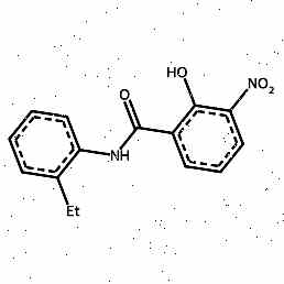 CCc1ccccc1NC(=O)c1cccc([N+](=O)[O-])c1O